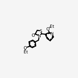 CCOc1ccc(CN2C(=O)CSC2c2cccnc2OCC)cc1